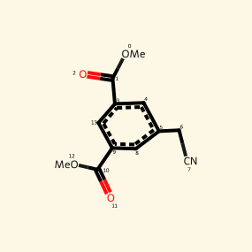 COC(=O)c1cc(CC#N)cc(C(=O)OC)c1